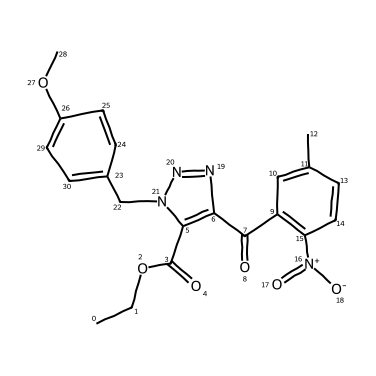 CCOC(=O)c1c(C(=O)c2cc(C)ccc2[N+](=O)[O-])nnn1Cc1ccc(OC)cc1